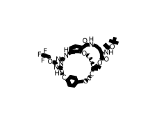 C=C(N[C@H]1CCNC(=O)c2ccc3cc2OCCCC(CCOc2ccc(cc2)CNc2nc(nc(OCC(F)(F)F)n2)N3)C(C)(C)OC1=O)OC(C)(C)C